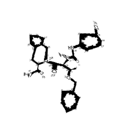 C[C@@H](OCc1ccccc1)[C@H](NC(=O)Nc1cccc(Cl)c1)C(=O)N1Cc2ccccc2C[C@@H]1C(=O)O